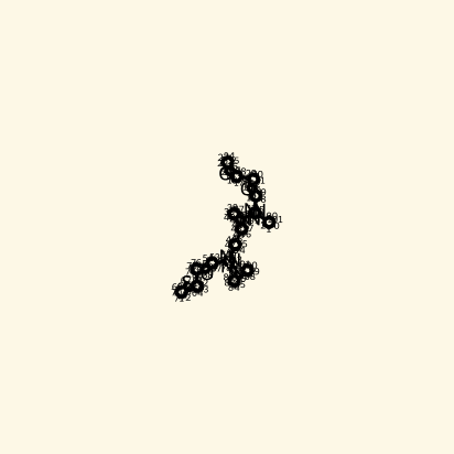 c1ccc(-c2nc(-c3ccc4c(c3)oc3c(-c5ccc6oc7ccccc7c6c5)cccc34)nc(-n3c4ccccc4c4cc(-c5ccc(-c6nc(-c7ccc8c(c7)oc7c(-c9cccc%10c9sc9ccccc9%10)cccc78)nc(-n7c8ccccc8c8ccccc87)n6)cc5)ccc43)n2)cc1